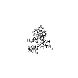 CNc1ccc(OCCCC(C)(C)[N+](=O)[O-])cc1C(=N)c1cnc2c(n1)c(C(=O)OC)cn2C(c1ccccc1)(c1ccccc1)c1ccccc1